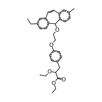 CCOC(=O)C(Cc1ccc(OCCOC2c3ccc(C)cc3C=Cc3cc(CC)ccc32)cc1)OCC